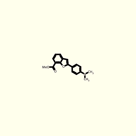 COC(=O)c1cccc2cc(-c3ccc(N(C)C)cc3)oc12